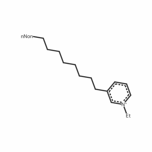 CCCCCCCCCCCCCCCCCc1ccc[n+](CC)c1